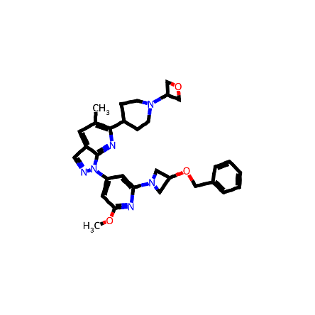 COc1cc(-n2ncc3cc(C)c(C4CCN(C5COC5)CC4)nc32)cc(N2CC(OCc3ccccc3)C2)n1